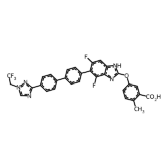 Cc1ccc(Oc2nc3c(F)c(-c4ccc(-c5ccc(-c6ncn(CC(F)(F)F)n6)cc5)cc4)c(F)cc3[nH]2)cc1C(=O)O